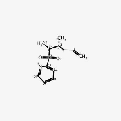 C=CC[C@@H](C)[C@H](C)S(=O)(=O)c1ncccn1